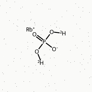 [2H]OP(=O)([O-])O[2H].[Rb+]